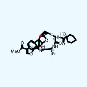 COC(=O)c1coc(-c2nc3oc2C24c5ccccc5NC2Oc2ccc(cc24)C[C@H](NC(=O)C2(O)CCCCC2)C(=O)N[C@H]3C(C)C)n1